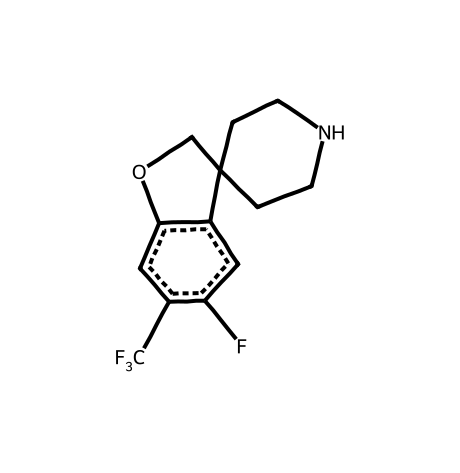 Fc1cc2c(cc1C(F)(F)F)OCC21CCNCC1